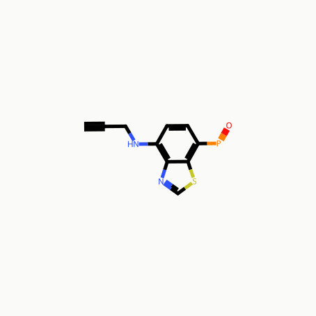 C#CCNc1ccc(P=O)c2scnc12